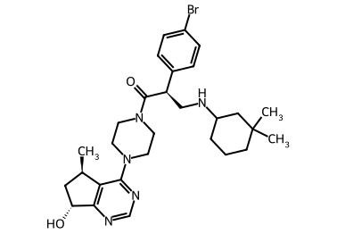 C[C@@H]1C[C@@H](O)c2ncnc(N3CCN(C(=O)[C@H](CNC4CCCC(C)(C)C4)c4ccc(Br)cc4)CC3)c21